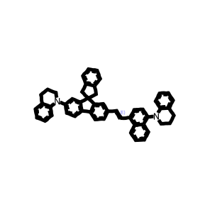 C(=C\c1ccc(N2CCCc3ccccc32)c2ccccc12)/c1ccc2c(c1)C1(Cc3ccccc3C1)c1cc(N3CCCc4ccccc43)ccc1-2